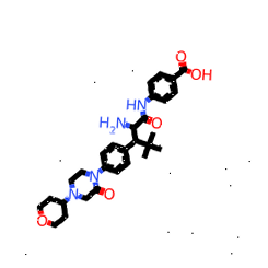 CC(C)(C)C(c1ccc(N2CCN(C3CCOCC3)CC2=O)cc1)C(N)C(=O)Nc1ccc(C(=O)O)cc1